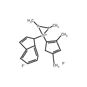 CC1=CC(C)=[C]([Ti+2]2([CH]3C=Cc4ccccc43)[P](C)[P]2C)C1.[F-].[F-]